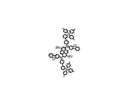 Cc1ccc([Si](c2ccc(C)cc2)(c2ccc(C)cc2)c2cccc(-c3ccc(N(c4ccc5c(c4)oc4ccccc45)c4cc(C(C)C)c5ccc6c(N(c7ccc(-c8cccc([Si](c9ccc(C)cc9)(c9ccc(C)cc9)c9ccc(C)cc9)c8)cc7)c7ccc8c(c7)oc7ccccc78)cc(C(C)C)c7ccc4c5c76)cc3)c2)cc1